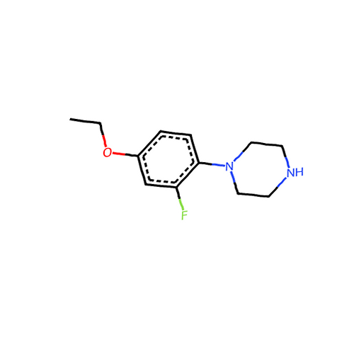 CCOc1ccc(N2CCNCC2)c(F)c1